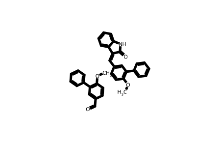 COc1ccc(C=C2C(=O)Nc3ccccc32)cc1-c1ccccc1.COc1ccc(C=O)cc1-c1ccccc1